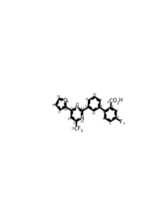 O=C(O)c1cc(F)ccc1-c1cccc(-c2nc(-c3ccco3)cc(C(F)(F)F)n2)c1